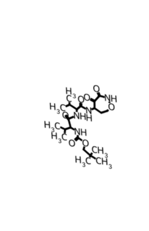 CC(C)C(NC(=O)OCC(C)(C)C)C(=O)NC(C(=O)NC1CCONC(=O)C1=O)C(C)C